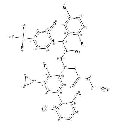 CCOC(=O)C[C@H](NC(=O)C(c1cc(Br)ccc1F)n1ccc(C(F)(F)F)cc1=O)c1cc(-c2c(C)cccc2O)cc(C2CC2)c1F